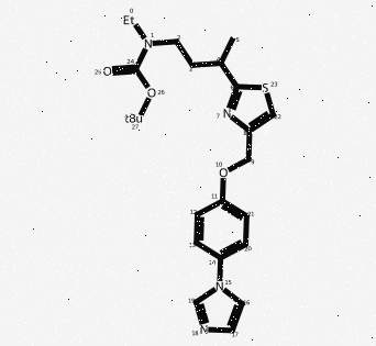 CCN(CCC(C)c1nc(COc2ccc(-n3ccnc3)cc2)cs1)C(=O)OC(C)(C)C